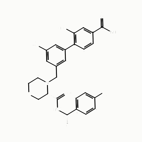 Cc1cc(C(N)=O)ccc1-c1cc(O)cc(CN2CCOC[C@H]2C(=O)N[C@@H](C)c2ccc(C(=O)O)cc2)c1